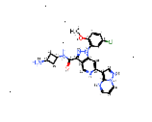 COc1ccc(Cl)cc1-n1nc(C(=O)NC2CC(N)C2)c2cnc(-c3cnn4cccnc34)cc21